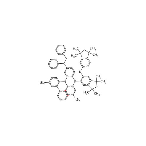 CC(C)(C)c1ccc2c(c1)B1c3cc4c(cc3N(c3ccc5c(c3)C(C)(C)CC5(C)C)c3cc(C(Cc5ccccc5)c5ccccc5)cc(c31)N2c1ccc(C(C)(C)C)cc1-c1ccccc1)C(C)(C)CC4(C)C